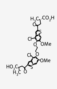 COc1cc2sc(C(=O)C[C@H](C)C(=O)O)cc2c(Cl)c1OCCOc1c(OC)cc2sc(C(=O)C[C@H](C)C(=O)O)cc2c1Cl